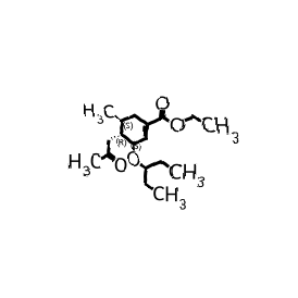 CCOC(=O)C1=C[C@@H](OC(CC)CC)[C@H](CC(C)=O)[C@@H](C)C1